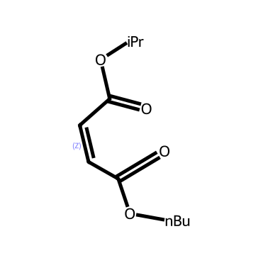 CCCCOC(=O)/C=C\C(=O)OC(C)C